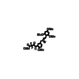 COC(=O)C(F)(F)C(=O)Nc1cc(C[S+]([O-])/C=C/c2c(OC)cc(OC)cc2OC)ccc1OC